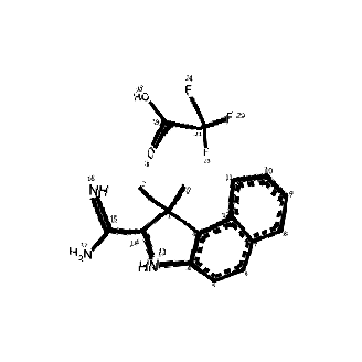 CC1(C)c2c(ccc3ccccc23)NC1C(=N)N.O=C(O)C(F)(F)F